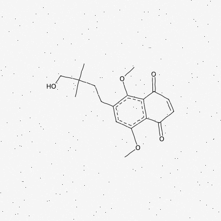 COc1cc(CCC(C)(C)CO)c(OC)c2c1C(=O)C=CC2=O